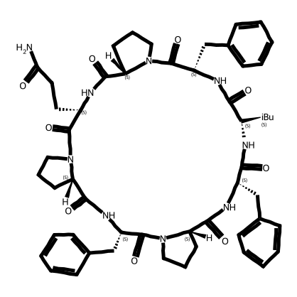 CC[C@H](C)[C@@H]1NC(=O)[C@H](Cc2ccccc2)NC(=O)[C@@H]2CCCN2C(=O)[C@H](Cc2ccccc2)NC(=O)[C@@H]2CCCN2C(=O)[C@H](CCC(N)=O)NC(=O)[C@@H]2CCCN2C(=O)[C@H](Cc2ccccc2)NC1=O